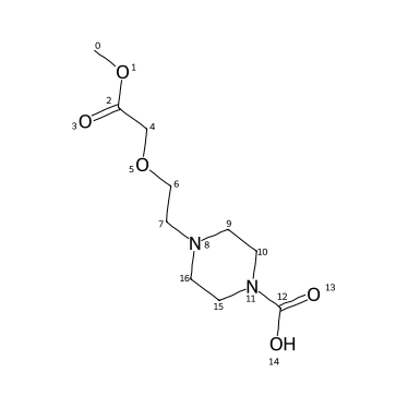 COC(=O)COCCN1CCN(C(=O)O)CC1